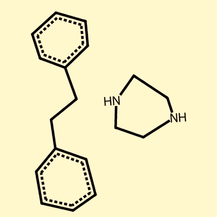 C1CNCCN1.c1ccc(CCc2ccccc2)cc1